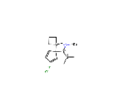 CCC(C)[NH][Ti+2]([SiH](C)C)[C]1([Si]2(C)CCC2)C=CC=C1.[Cl-].[Cl-]